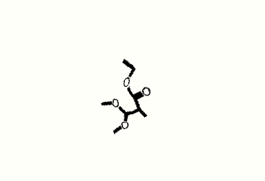 CCOC(=O)C(C)C(OC)OC